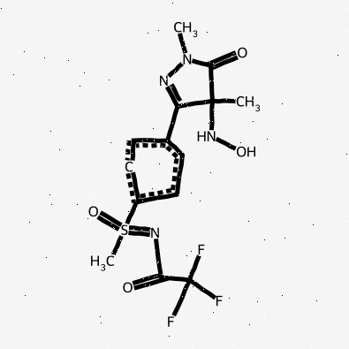 CN1N=C(c2ccc(S(C)(=O)=NC(=O)C(F)(F)F)cc2)C(C)(NO)C1=O